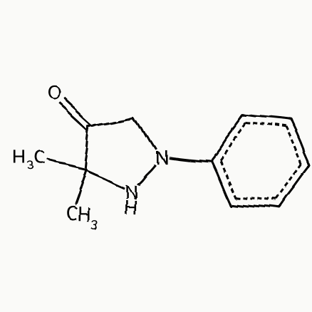 CC1(C)NN(c2ccccc2)CC1=O